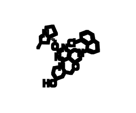 C[C@H]1CN2CCC[C@@]2(COc2nc3c4c(n2)N2CCC(O)CC2COC4CN(c2cccc4cccc(Cl)c24)C3)C1